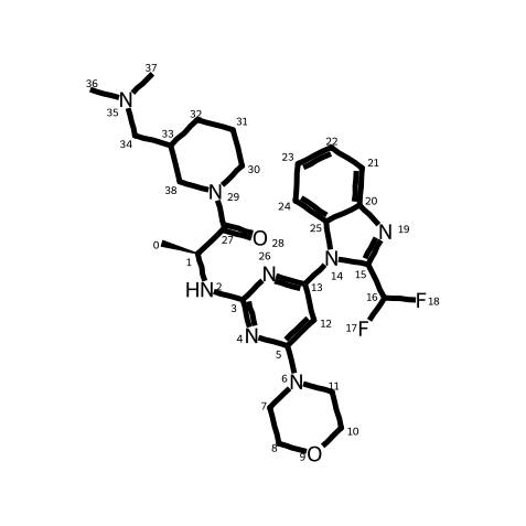 C[C@H](Nc1nc(N2CCOCC2)cc(-n2c(C(F)F)nc3ccccc32)n1)C(=O)N1CCCC(CN(C)C)C1